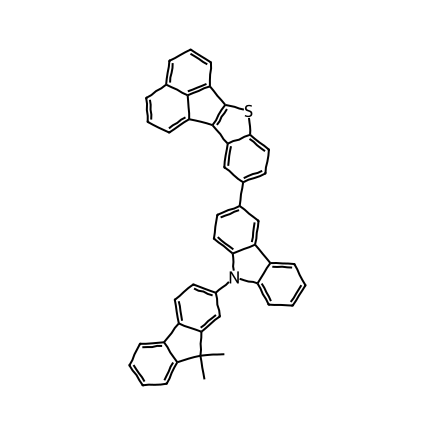 CC1(C)c2ccccc2-c2ccc(-n3c4ccccc4c4cc(-c5ccc6sc7c(c6c5)-c5cccc6cccc-7c56)ccc43)cc21